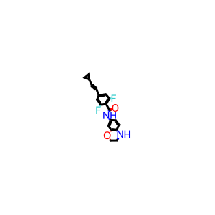 O=C(Nc1ccc2c(c1)OCCN2)c1c(F)cc(C#CC2CC2)cc1F